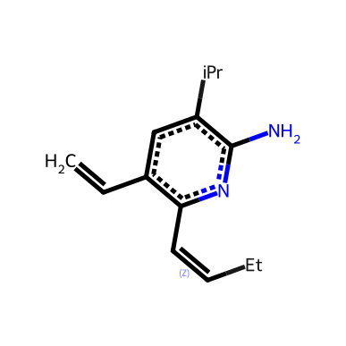 C=Cc1cc(C(C)C)c(N)nc1/C=C\CC